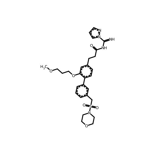 COCCCOc1cc(CCC(=O)NC(=N)n2cccn2)ccc1-c1cccc(CS(=O)(=O)N2CCOCC2)c1